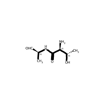 C[C@H](O)[C@H](N)C(=O)N[C@@H](C)[C]=O